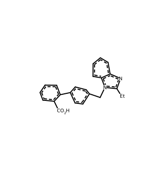 CCc1nc2ccccc2n1Cc1ccc(-c2ccccc2C(=O)O)cc1